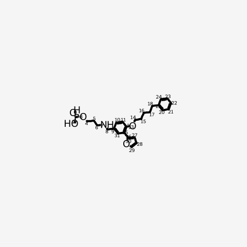 O=[PH](O)OCCCNCc1ccc(OCCCCCc2ccccc2)c(-c2ccco2)c1